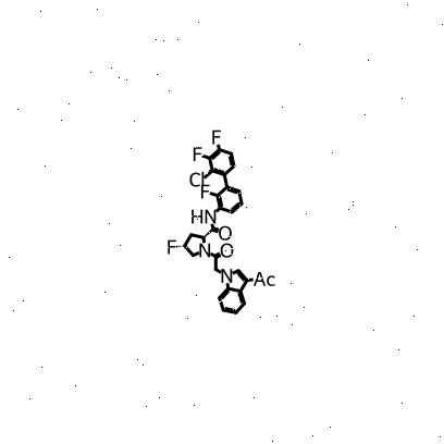 CC(=O)c1cn(CC(=O)N2C[C@H](F)C[C@H]2C(=O)Nc2cccc(-c3ccc(F)c(F)c3Cl)c2F)c2ccccc12